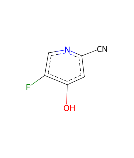 N#Cc1cc(O)c(F)cn1